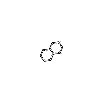 [c]1c[c]c2ccccc2c1